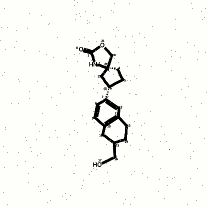 O=C1N[C@@]2(CC[C@H](c3ccc4c(c3)CCC(CO)C4)C2)CO1